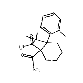 Cc1ccccc1C1(C(C)(C)C)CCCCC1(C(N)=O)C(N)=O